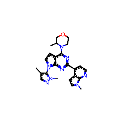 Cc1cnn(C)c1-n1ccc2c(N3CCOCC3C)nc(-c3ccnc4c3ccn4C)nc21